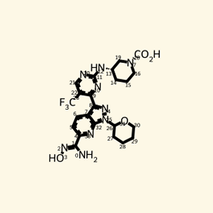 N/C(=N\O)c1ccc2c(-c3nc(N[C@H]4CCCN(C(=O)O)C4)ncc3C(F)(F)F)nn(C3CCCCO3)c2n1